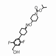 CC(C)OC(=O)N1CCC(ON=C2CCC(c3cc(F)c(CO)cc3F)CC2)CC1